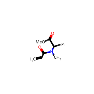 C=CC(=O)N(C)C(C(=O)OC)C(C)C